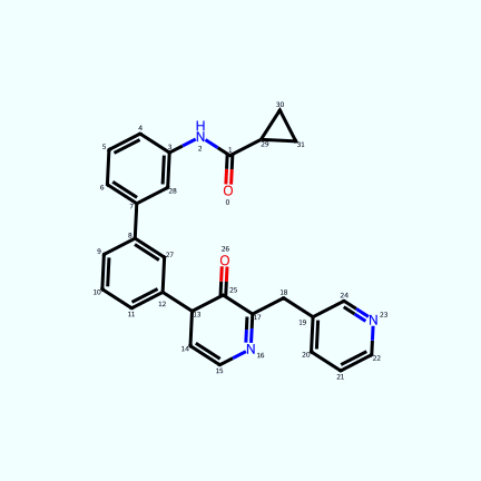 O=C(Nc1cccc(-c2cccc(C3C=CN=C(Cc4cccnc4)C3=O)c2)c1)C1CC1